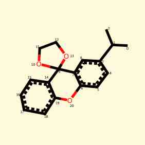 CC(C)c1ccc2c(c1)C1(OCCO1)c1ccccc1O2